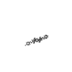 CC1C=CC(CCC2Cc3sc4cc5c(cc4c3S2)SC2C=C(CCC3C=CC=CC3)SC52)=CC1